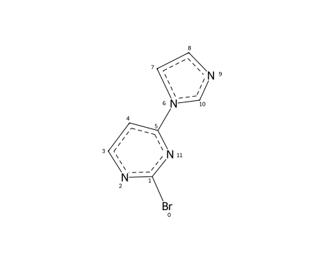 Brc1nccc(-n2ccnc2)n1